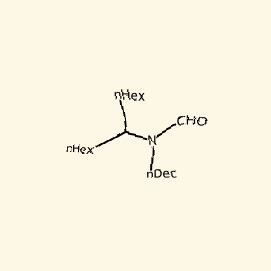 CCCCCCCCCCN(C=O)C(CCCCCC)CCCCCC